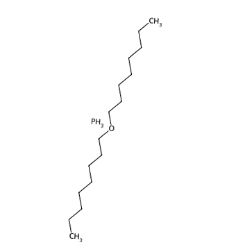 CCCCCCCCOCCCCCCCC.P